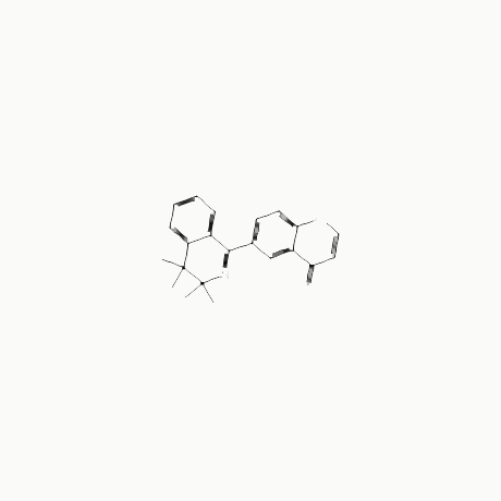 CC1(C)N=C(c2ccc3occc(=O)c3c2)c2ccccc2C1(C)C